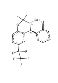 CC1(C)Oc2ccc(C(F)(F)C(F)(F)F)cc2[C@H](n2ccccc2=O)[C@H]1O